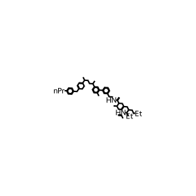 C=C(C)NC(C)C(CC1=CCC(C)C(C(=C)NCCc2cccc(-c3cc(C(C)CCC(C)C4=CC=C(Cc5ccc(CCC)cc5)CC4)ccc3C)c2)C1)CC(CC)CC